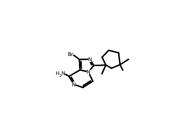 CC1(C)CCCC(C)(c2nc(Br)c3c(N)nccn23)C1